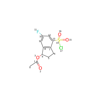 CC(=O)OC1CCc2c1cc(F)cc2S(=O)(=O)Cl